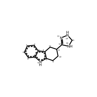 c1ccc2c3c([nH]c2c1)CCC(C1=NNCN1)C3